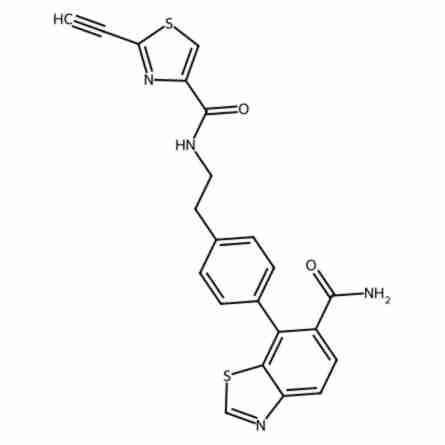 C#Cc1nc(C(=O)NCCc2ccc(-c3c(C(N)=O)ccc4ncsc34)cc2)cs1